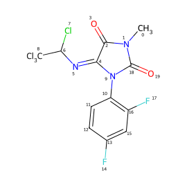 CN1C(=O)C(=NC(Cl)C(Cl)(Cl)Cl)N(c2ccc(F)cc2F)C1=O